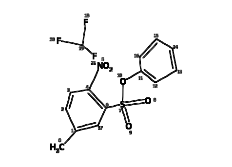 Cc1ccc([N+](=O)[O-])c(S(=O)(=O)Oc2ccccc2)c1.FC(F)F